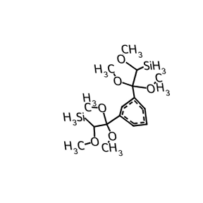 COC([SiH3])C(OC)(OC)c1cccc(C(OC)(OC)C([SiH3])OC)c1